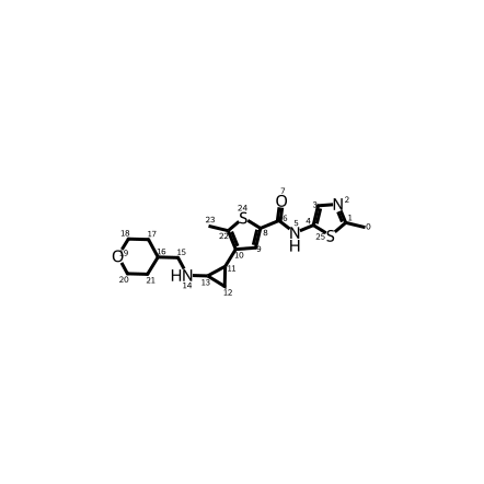 Cc1ncc(NC(=O)c2cc(C3CC3NCC3CCOCC3)c(C)s2)s1